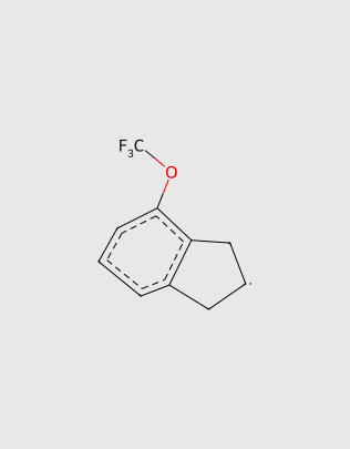 FC(F)(F)Oc1cccc2c1C[CH]C2